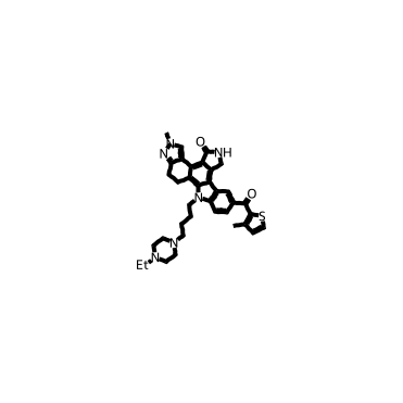 CCN1CCN(CCCCn2c3ccc(C(=O)c4sccc4C)cc3c3c4c(c5c(c32)CCc2nn(C)cc2-5)C(=O)NC4)CC1